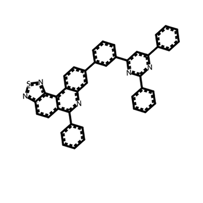 c1ccc(-c2cc(-c3cccc(-c4ccc5c(c4)nc(-c4ccccc4)c4ccc6nsnc6c45)c3)nc(-c3ccccc3)n2)cc1